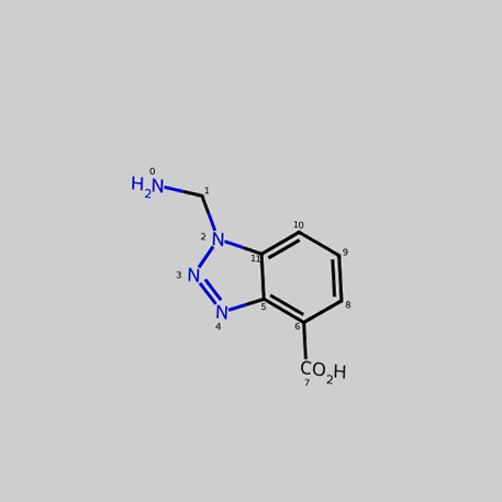 NCn1nnc2c(C(=O)O)cccc21